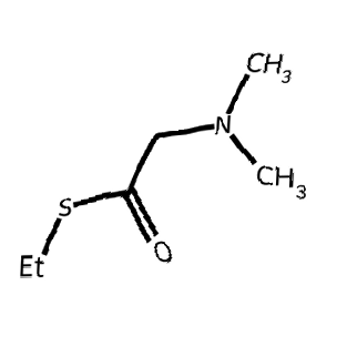 CCSC(=O)CN(C)C